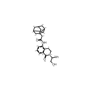 CC(C)C(CO)N1CCc2c(NC(=O)CC34CC5CC(CC(C5)C3)C4)cccc2C1=O